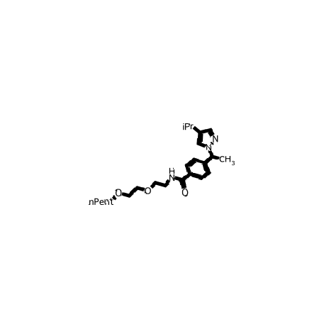 CCCCCOCCOCCNC(=O)c1ccc(C(C)n2cc(C(C)C)cn2)cc1